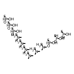 CN(C)P.CN(C)P.CN(C)P.CN(C)P.CN(C)P.CN(C)P.O=[PH](O)F.O=[PH](O)F.O=[PH](O)F.O=[PH](O)F.O=[PH](O)F.O=[PH](O)F